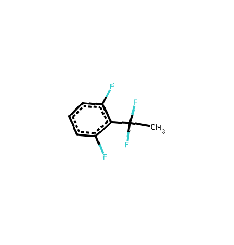 CC(F)(F)c1c(F)cccc1F